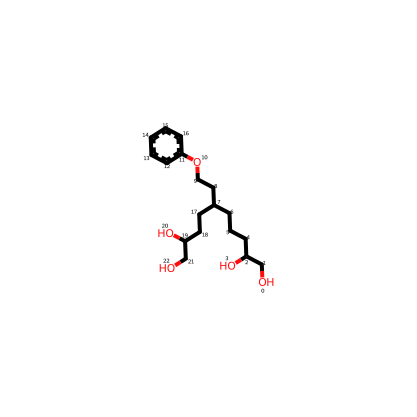 OCC(O)CCCC(CCOc1ccccc1)CCC(O)CO